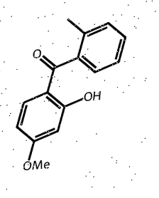 COc1ccc(C(=O)c2ccccc2C)c(O)c1